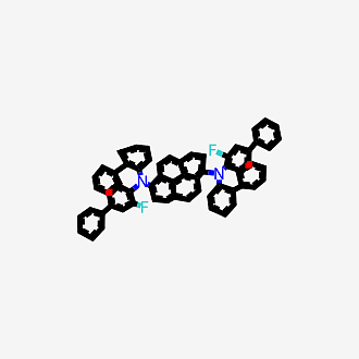 Fc1cc(-c2ccccc2)ccc1N(c1ccccc1-c1ccccc1)c1ccc2ccc3c(N(c4ccc(-c5ccccc5)cc4F)c4ccccc4-c4ccccc4)ccc4ccc1c2c43